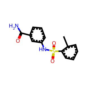 Cc1ccccc1S(=O)(=O)Nc1cccc(C(N)=O)c1